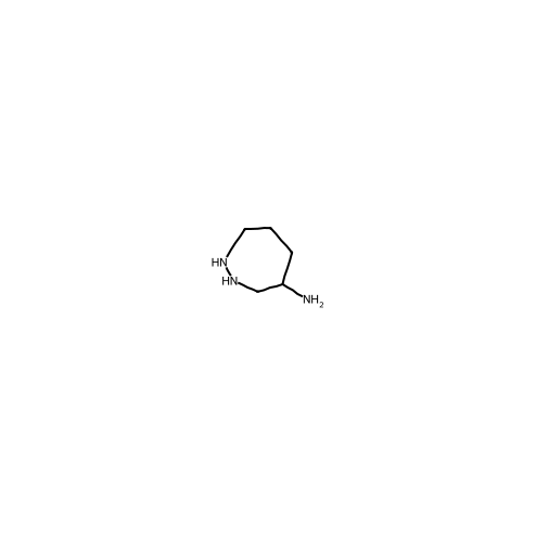 NC1CCCNNC1